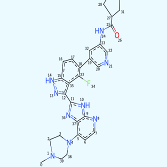 CN1CCN(c2ccnc3[nH]c(-c4n[nH]c5ccc(-c6cncc(NC(=O)C7CCCC7)c6)c(F)c45)nc23)CC1